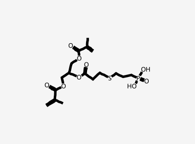 C=C(C)C(=O)OCC(COC(=O)C(=C)C)OC(=O)CCSCCCP(=O)(O)O